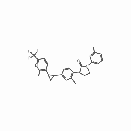 Cc1cccc(N2CCC(c3ccc(C4CC4c4ccc(C(F)(F)F)nc4C)nc3C)C2=O)n1